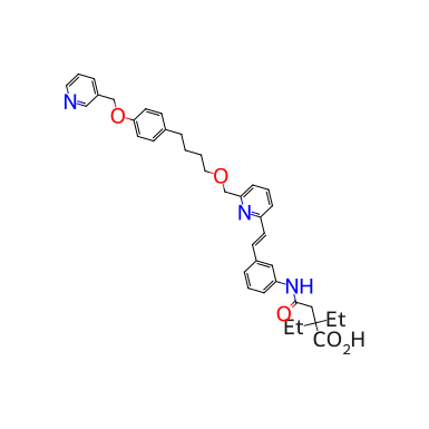 CCC(CC)(CC(=O)Nc1cccc(C=Cc2cccc(COCCCCc3ccc(OCc4cccnc4)cc3)n2)c1)C(=O)O